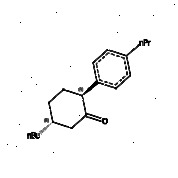 CCCC[C@@H]1CC[C@@H](c2ccc(CCC)cc2)C(=O)C1